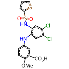 COc1ccc(Nc2cc(Cl)c(Cl)cc2NS(=O)(=O)c2cccs2)cc1C(=O)O